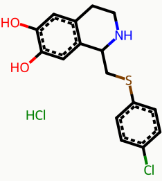 Cl.Oc1cc2c(cc1O)C(CSc1ccc(Cl)cc1)NCC2